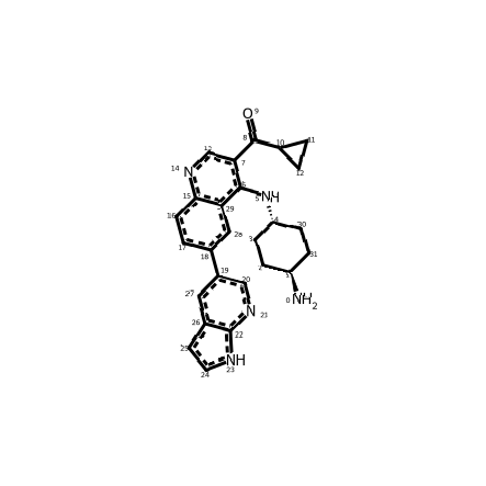 N[C@H]1CC[C@H](Nc2c(C(=O)C3CC3)cnc3ccc(-c4cnc5[nH]ccc5c4)cc23)CC1